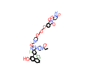 C=CC(=O)N1CCN(c2nc(O[C@H](C)CN3CCC(OCCOCCOc4ccc5c(c4)C(=O)N(C4CCC(=O)NC4=O)C5=O)CC3)nc3c(F)c(-c4cc(O)cc5ccccc45)c(Cl)cc23)CC1